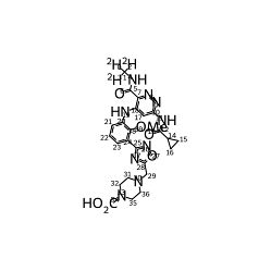 [2H]C([2H])([2H])NC(=O)c1nnc(NC(=O)C2CC2)cc1Nc1cccc(-c2noc(CN3CCN(C(=O)O)CC3)n2)c1OC